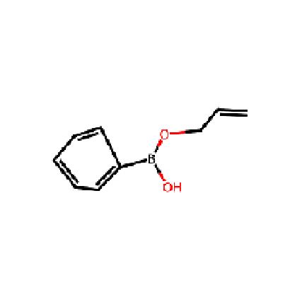 C=CCOB(O)c1ccccc1